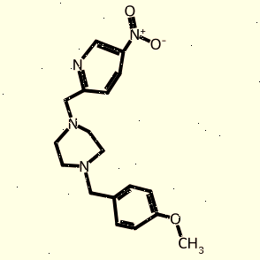 COc1ccc(CN2CCN(Cc3ccc([N+](=O)[O-])cn3)CC2)cc1